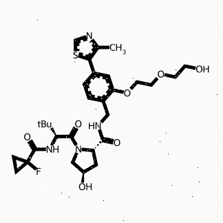 Cc1ncsc1-c1ccc(CNC(=O)[C@@H]2C[C@@H](O)CN2C(=O)[C@@H](NC(=O)C2(F)CC2)C(C)(C)C)c(OCCOCCO)c1